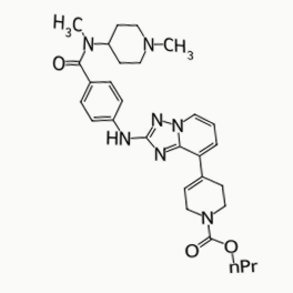 CCCOC(=O)N1CC=C(c2cccn3nc(Nc4ccc(C(=O)N(C)C5CCN(C)CC5)cc4)nc23)CC1